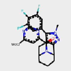 COc1cc(C(=O)N2C3CCCC2c2nn(C)c(-c4cc(F)c(F)c(F)c4)c2C3)ncn1